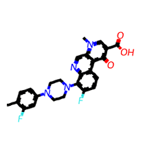 Cc1ccc(N2CCN(c3c(F)ccc4c3ncc3c4c(=O)c(C(=O)O)cn3C)CC2)cc1F